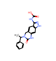 CC(c1ccccc1)N1Cc2cc3c(NC(=O)O)n[nH]c3cc2NC1=O